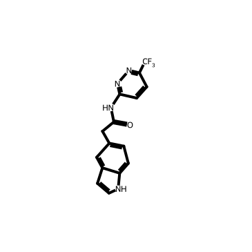 O=C(Cc1ccc2[nH]ccc2c1)Nc1ccc(C(F)(F)F)nn1